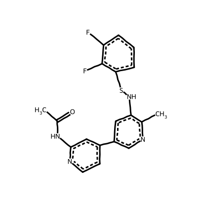 CC(=O)Nc1cc(-c2cnc(C)c(NSc3cccc(F)c3F)c2)ccn1